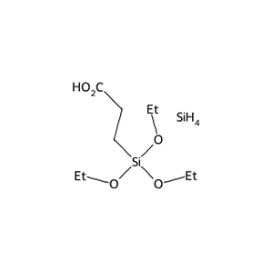 CCO[Si](CCC(=O)O)(OCC)OCC.[SiH4]